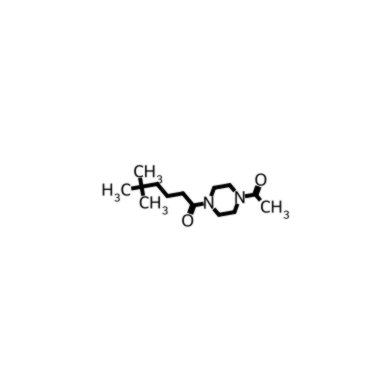 CC(=O)N1CCN(C(=O)CCCC(C)(C)C)CC1